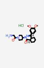 COc1ccc(C2=NN(C3CCN(C(=O)CN)CC3)C(=O)[C@@H]3CCCC[C@H]23)cc1OC.Cl